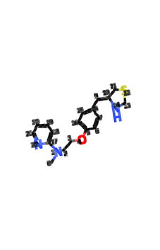 CN(CCOc1ccc(C=C2CSCN2)cc1)c1ccccn1